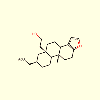 CC(=O)OC[C@@H]1CCC2[C@@](CCO)(CCC3c4ccoc4CC[C@@]32C)C1